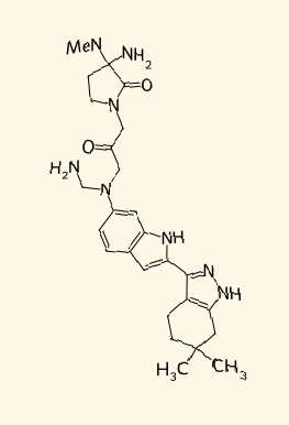 CNC1(N)CCN(CC(=O)CN(CN)c2ccc3cc(-c4n[nH]c5c4CCC(C)(C)C5)[nH]c3c2)C1=O